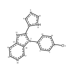 Clc1ccc(-n2c(-c3cnc[nH]3)nc3ccncc32)cc1